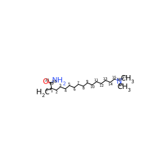 C=C(CCCCCCCCCCCCCCN(C)C)C(N)=O